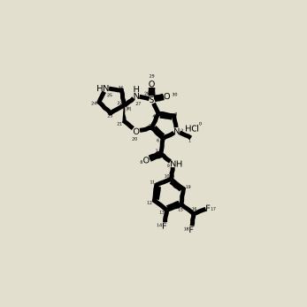 Cl.Cn1cc2c(c1C(=O)Nc1ccc(F)c(C(F)F)c1)OC[C@]1(CCNC1)NS2(=O)=O